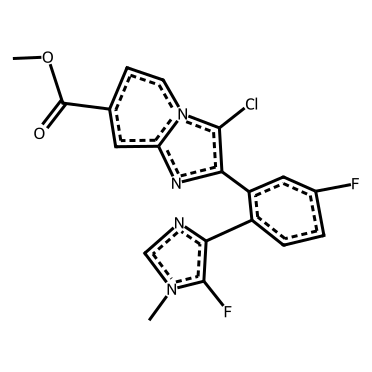 COC(=O)c1ccn2c(Cl)c(-c3cc(F)ccc3-c3ncn(C)c3F)nc2c1